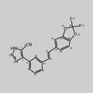 N#Cc1[nH]nnc1-c1cccc(/C=C/c2ccc3c(c2)OC(F)(F)O3)c1